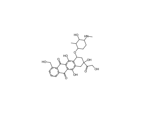 CNC1CCC(OC2CC(O)(C(=O)CO)Cc3c(O)c4c(c(O)c32)C(=O)c2c(CO)cccc2C4=O)C(C)C1O